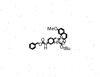 COc1ccc2ccc(=O)n([C@@H](CC3CCC(NC(=O)OCc4ccccc4)CC3)NC(=O)OC(C)(C)C)c2c1